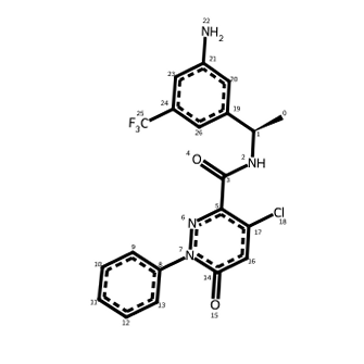 C[C@@H](NC(=O)c1nn(-c2ccccc2)c(=O)cc1Cl)c1cc(N)cc(C(F)(F)F)c1